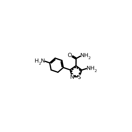 NC(=O)c1c(C2=CC=C(N)CC2)nsc1N